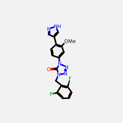 COc1cc(-n2nnn(Cc3c(F)cccc3F)c2=O)ccc1-c1cn[nH]c1